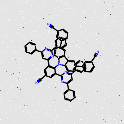 N#Cc1cccc(-c2ccc3c(c2)c2cc(-c4cccc(C#N)c4)ccc2n3-c2c(-c3cc(-c4ccccc4)nc(-c4ccccc4)n3)cc(C#N)cc2-c2nc(-c3ccccc3)cc(-c3ccccc3)n2)c1